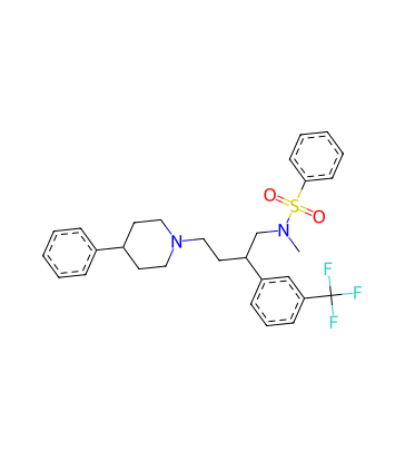 CN(CC(CCN1CCC(c2ccccc2)CC1)c1cccc(C(F)(F)F)c1)S(=O)(=O)c1ccccc1